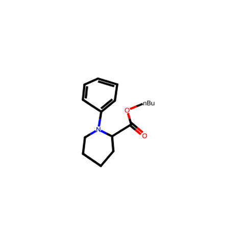 CCCCOC(=O)C1CCCCN1c1ccccc1